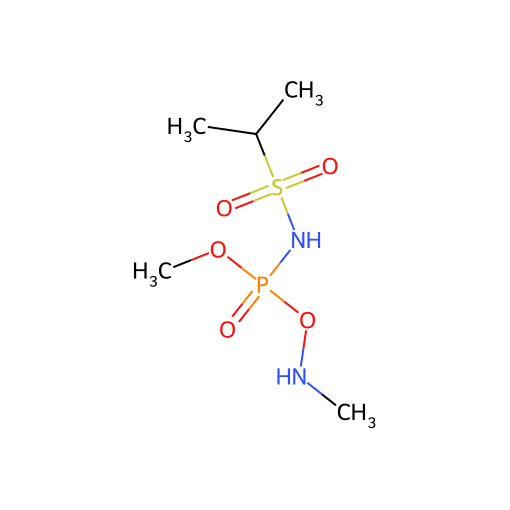 CNOP(=O)(NS(=O)(=O)C(C)C)OC